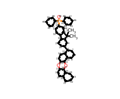 CC1(C)c2cc(-c3cccc4c5c(ccc34)Oc3ccc4ccccc4c3O5)ccc2-c2ccc(P(=O)(c3ccccc3)c3ccccc3)cc21